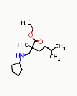 CCOC(=O)C(C)(CCC(C)C)CNC1CCCC1